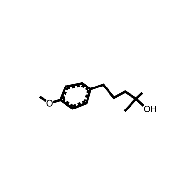 COc1ccc(CCCC(C)(C)O)cc1